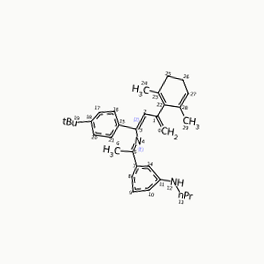 C=C(/C=C(\N=C(/C)c1cccc(NCCC)c1)c1ccc(C(C)(C)C)cc1)C1=C(C)CCC=C1C